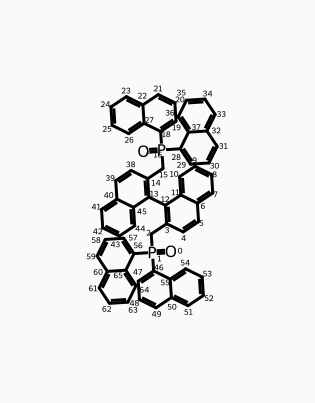 O=P(Cc1ccc2ccccc2c1-c1c(CP(=O)(c2cccc3ccccc23)c2cccc3ccccc23)ccc2ccccc12)(c1cccc2ccccc12)c1cccc2ccccc12